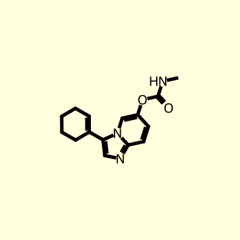 CNC(=O)Oc1ccc2ncc(C3=CCCCC3)n2c1